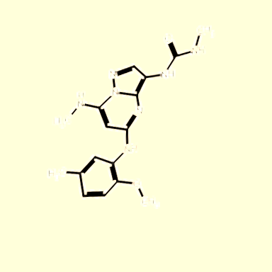 CNC(=O)Nc1cnn2c(NC)cc(Nc3cc(C)ccc3OC)nc12